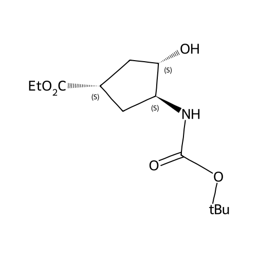 CCOC(=O)[C@H]1C[C@H](NC(=O)OC(C)(C)C)[C@@H](O)C1